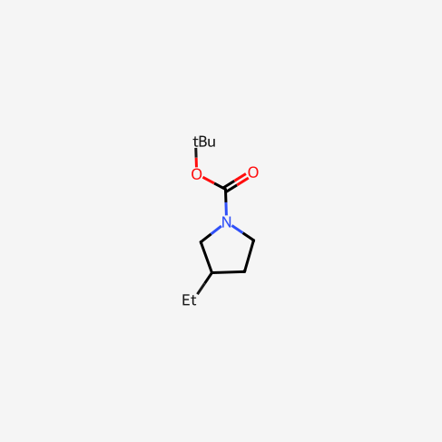 CCC1CCN(C(=O)OC(C)(C)C)C1